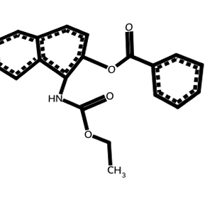 CCOC(=O)Nc1c(OC(=O)c2ccccc2)ccc2ccccc12